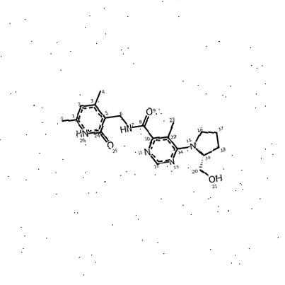 Cc1cc(C)c(CNC(=O)c2ncnc(N3CCC[C@@H]3CO)c2C)c(=O)[nH]1